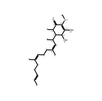 CC=CCCC(C)=CCCC(C)=CC(C)C1C(C)C(=O)C(OC)=C(O)C1O